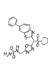 NS(=O)(=O)NCc1nnc(C(c2nc3ccc(-c4ccccc4)cc3s2)S(=O)(=O)C2CCCC2)o1